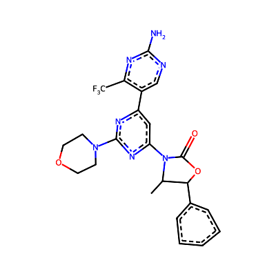 CC1C(c2ccccc2)OC(=O)N1c1cc(-c2cnc(N)nc2C(F)(F)F)nc(N2CCOCC2)n1